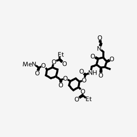 CCC(=O)OC1CC(C(=O)OC2CCC(OC(=O)CC)C(OC(=O)NCC3C(=O)C(C)C(=O)C(CN=C=O)C3=O)C2)CCC1OC(=O)NC